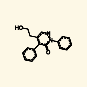 O=c1c(-c2ccccc2)c(CCO)cnn1-c1ccccc1